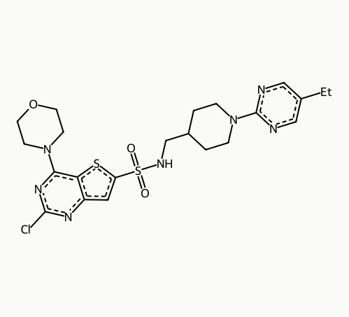 CCc1cnc(N2CCC(CNS(=O)(=O)c3cc4nc(Cl)nc(N5CCOCC5)c4s3)CC2)nc1